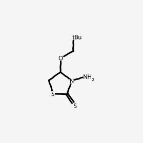 CC(C)(C)COC1CSC(=S)N1N